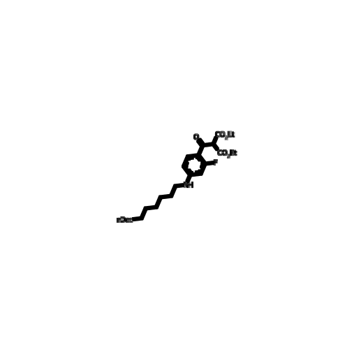 CCCCCCCCCCCCCCCCNc1ccc(C(=O)C(C(=O)OCC)C(=O)OCC)c(F)c1